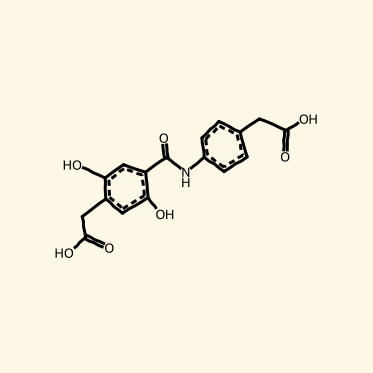 O=C(O)Cc1ccc(NC(=O)c2cc(O)c(CC(=O)O)cc2O)cc1